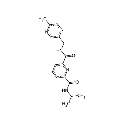 Cc1cnc(CNC(=O)c2cccc(C(=O)NC(C)C)n2)cn1